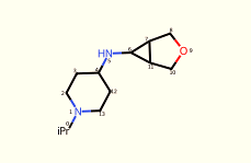 CC(C)N1CCC(NC2C3COCC32)CC1